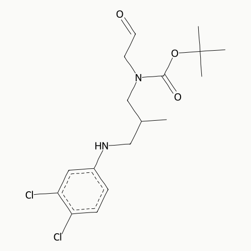 CC(CNc1ccc(Cl)c(Cl)c1)CN(CC=O)C(=O)OC(C)(C)C